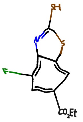 CCOC(=O)c1cc(F)c2nc(S)sc2c1